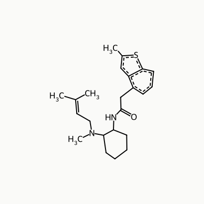 CC(C)=CCN(C)C1CCCCC1NC(=O)Cc1cccc2sc(C)cc12